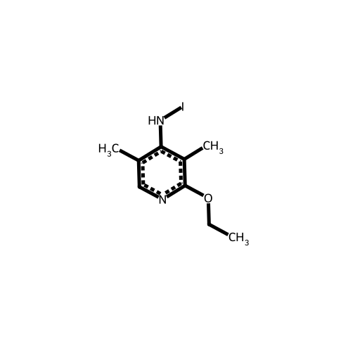 CCOc1ncc(C)c(NI)c1C